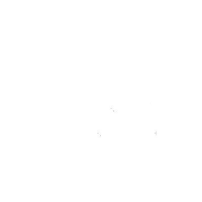 Cc1ncn(Cc2ccc3ccccc3c2)c1C(=O)O